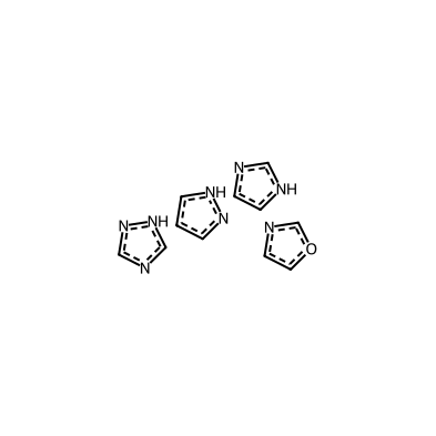 c1c[nH]cn1.c1cn[nH]c1.c1cocn1.c1nc[nH]n1